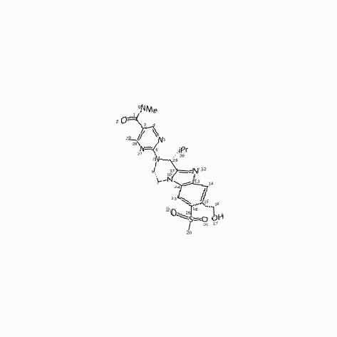 CNC(=O)c1cnc(N2CCn3c(nc4cc(CO)c(S(C)(=O)=O)cc43)[C@H]2C(C)C)nc1C